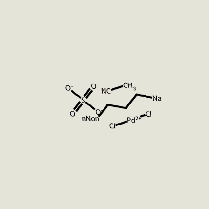 CC#N.CCCCCCCCCCC[CH2][Na].O=S(=O)([O-])[O-].[Cl][Pd+2][Cl]